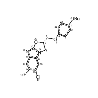 CC(C)(C)c1ccc(OC[C@@H]2Cn3c(nc4cc(F)c(Cl)cc43)O2)cc1